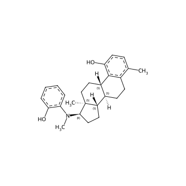 Cc1ccc(O)c2c1CC[C@@H]1[C@@H]2CC[C@@]2(C)[C@H]1CC[C@H]2N(C)c1ccccc1O